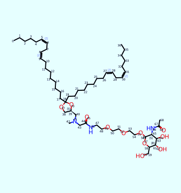 CCCCC/C=C\C/C=C\CCCCCCCCC1(CCCCCCCC/C=C\C/C=C\CCCCC)OC[C@H](CN(C)CC(=O)NCCOCCOCCO[C@@H]2OC(CO)[C@H](O)C(O)[C@@H]2NC(C)=O)O1